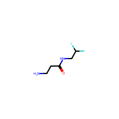 NCCC(=O)NCC(F)F